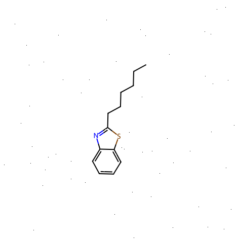 CCCCCCc1nc2ccccc2s1